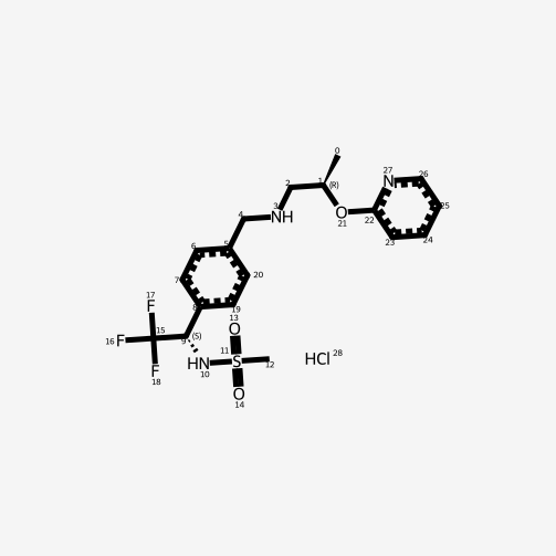 C[C@H](CNCc1ccc([C@H](NS(C)(=O)=O)C(F)(F)F)cc1)Oc1ccccn1.Cl